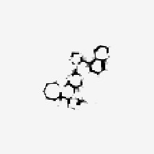 CCC12CCCCCN1c1nc(-n3ncnc3-c3cccc4ncccc34)ncc1-n1c(C)nnc12